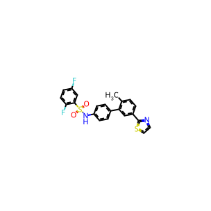 Cc1ccc(-c2nccs2)cc1-c1ccc(NS(=O)(=O)c2cc(F)ccc2F)cc1